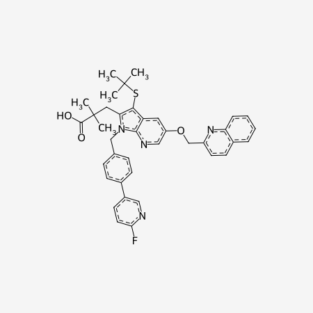 CC(C)(C)Sc1c(CC(C)(C)C(=O)O)n(Cc2ccc(-c3ccc(F)nc3)cc2)c2ncc(OCc3ccc4ccccc4n3)cc12